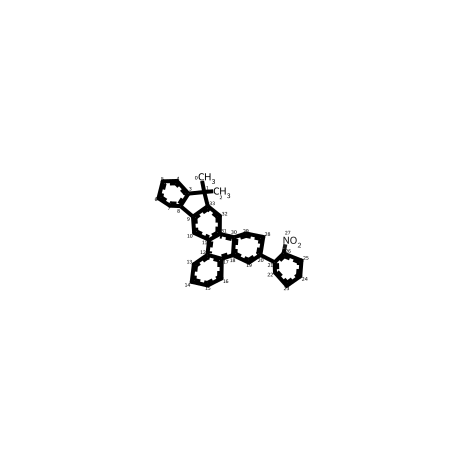 CC1(C)c2ccccc2-c2cc3c4ccccc4c4cc(-c5ccccc5[N+](=O)[O-])ccc4c3cc21